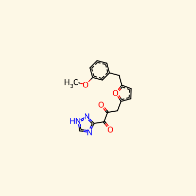 COc1cccc(Cc2ccc(CC(=O)C(=O)c3nc[nH]n3)o2)c1